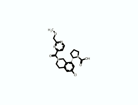 COCc1nccc(C(=O)N2CCc3cc(Cl)cc([C@@H]4CCCN4C(=O)O)c3C2)n1